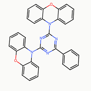 c1ccc(-c2nc(N3c4ccccc4Oc4ccccc43)nc(N3c4ccccc4Oc4ccccc43)n2)cc1